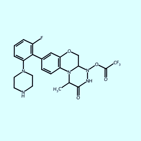 CC1C(=O)NN(OC(=O)C(F)(F)F)C2COc3cc(-c4c(F)cccc4N4CCNCC4)ccc3N12